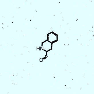 O=PC1Cc2ccccc2CN1